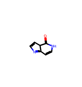 O=C1NC=CC2=NC=CC12